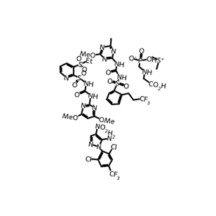 CCS(=O)(=O)c1cccnc1S(=O)(=O)NC(=O)Nc1nc(OC)cc(OC)n1.COc1nc(C)nc(NC(=O)NS(=O)(=O)c2ccccc2CCC(F)(F)F)n1.C[S+](C)C.Nc1c([N+](=O)[O-])cnn1-c1c(Cl)cc(C(F)(F)F)cc1Cl.O=C(O)CNCP(=O)([O-])O